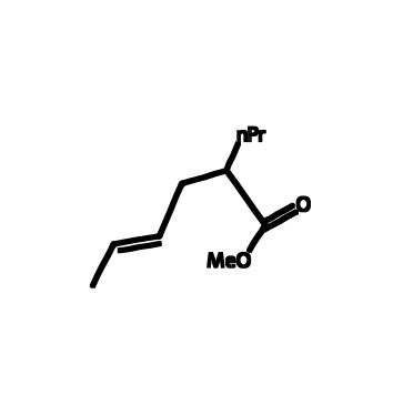 CC=CCC(CCC)C(=O)OC